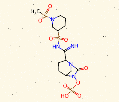 CS(=O)(=O)N1CCCC(S(=O)(=O)NC(=N)C2CCC3CN2C(=O)N3OS(=O)(=O)O)C1